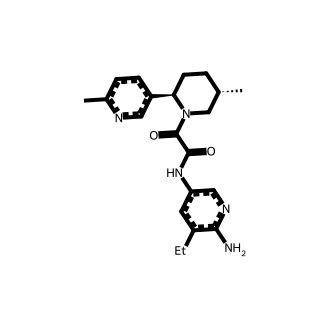 CCc1cc(NC(=O)C(=O)N2C[C@@H](C)CC[C@@H]2c2ccc(C)nc2)cnc1N